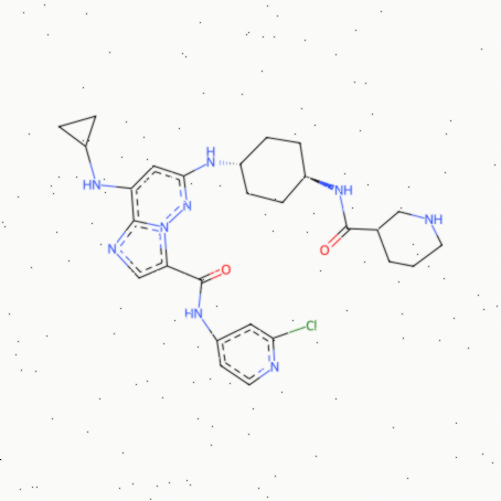 O=C(Nc1ccnc(Cl)c1)c1cnc2c(NC3CC3)cc(N[C@H]3CC[C@H](NC(=O)C4CCCNC4)CC3)nn12